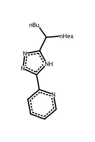 CCCCCCC(CCCC)c1nnc(-c2ccccn2)[nH]1